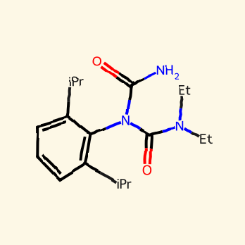 CCN(CC)C(=O)N(C(N)=O)c1c(C(C)C)cccc1C(C)C